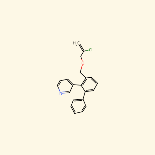 C=C(Cl)COCc1cccc(-c2ccccc2)c1-c1cccnc1